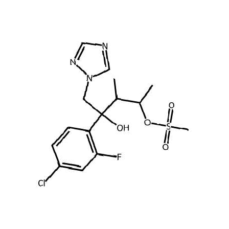 CC(OS(C)(=O)=O)C(C)C(O)(Cn1cncn1)c1ccc(Cl)cc1F